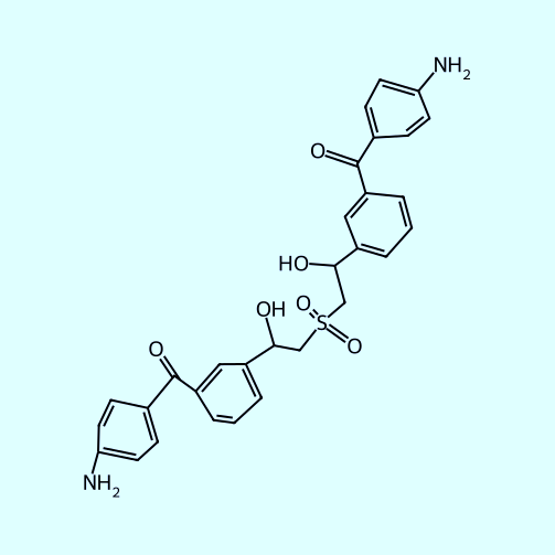 Nc1ccc(C(=O)c2cccc(C(O)CS(=O)(=O)CC(O)c3cccc(C(=O)c4ccc(N)cc4)c3)c2)cc1